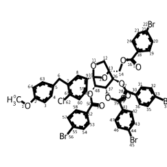 COc1ccc(Cc2cc([C@]34OC[C@](COC(=O)c5ccc(Br)cc5)(O3)[C@@H](OC(=O)c3ccc(Br)cc3)[C@H](OC(=O)c3ccc(Br)cc3)[C@@H]4OC(=O)c3ccc(Br)cc3)ccc2Cl)cc1